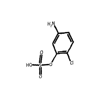 Nc1ccc(Cl)c(OS(=O)(=O)O)c1